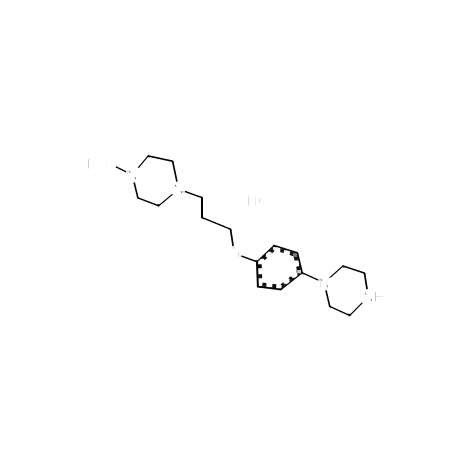 CN1CCN(CCCOc2ccc(N3CCNCC3)cc2)CC1.Cl